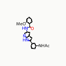 COc1ccccc1C(=O)Nc1cnc2[nH]c(-c3cccc(NC(C)=O)c3)cc2c1